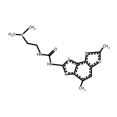 Cc1nc2c(cc(C)c3nc(NC(=O)NCCN(C)C)sc32)s1